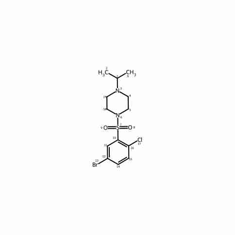 CC(C)N1CCN(S(=O)(=O)c2cc(Br)ccc2Cl)CC1